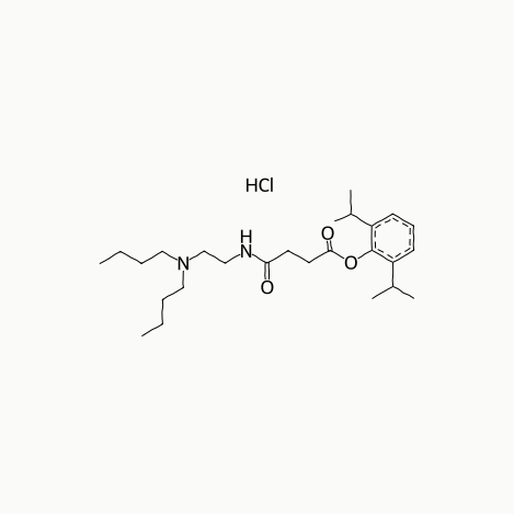 CCCCN(CCCC)CCNC(=O)CCC(=O)Oc1c(C(C)C)cccc1C(C)C.Cl